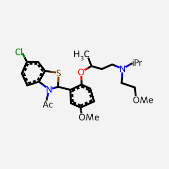 COCCN(CCC(C)Oc1ccc(OC)cc1C1Sc2cc(Cl)ccc2N1C(C)=O)C(C)C